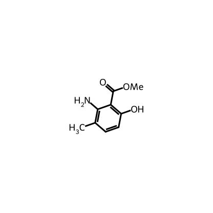 COC(=O)c1c(O)ccc(C)c1N